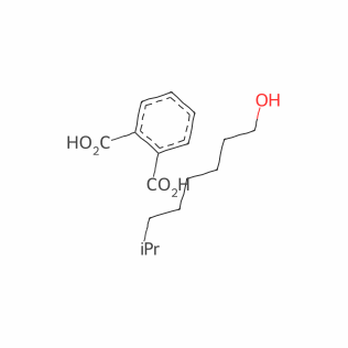 CC(C)CCCCCCO.O=C(O)c1ccccc1C(=O)O